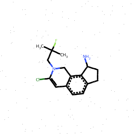 CC(C)(F)CN1Cc2c(ccc3c2C(N)CC3)C=C1Cl